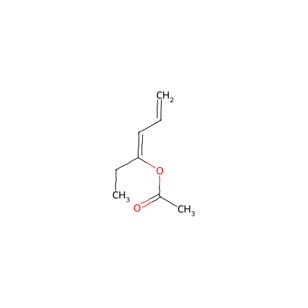 C=CC=C(CC)OC(C)=O